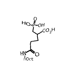 CCCCCCCCNC(=O)CCC(CP(=O)(O)O)C(=O)O